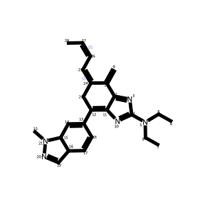 C=C1C2=NC(N(CC)CC)=NC2=C(C2=CC3C(C=C2)C=NN3C)C/C1=C/C=C\C